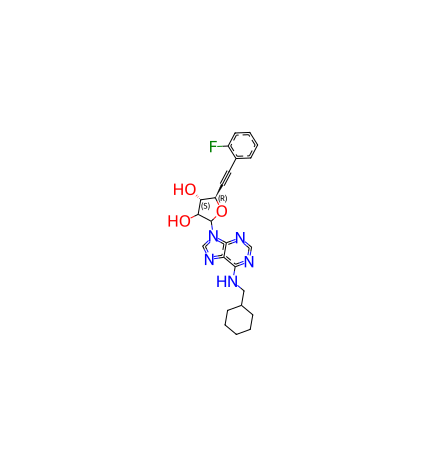 OC1C(n2cnc3c(NCC4CCCCC4)ncnc32)O[C@H](C#Cc2ccccc2F)[C@H]1O